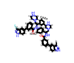 COc1cc(C2CN(CC(NC(=O)c3cccc(-c4ccc5[nH]nc(C)c5c4)c3)c3cccc(OC)c3)CCN2)cc(C(CN2CCNCC2)NC(=O)c2cccc(-c3ccc4[nH]nc(F)c4c3)c2)c1